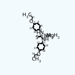 CCOc1ccc(NC(=S)Nc2ccc(OCC)cc2)cc1.N.[MgH2]